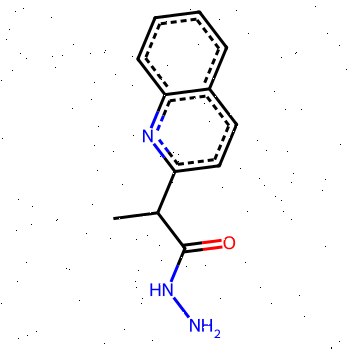 CC(C(=O)NN)c1ccc2ccccc2n1